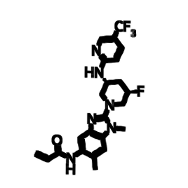 C=CC(=O)Nc1cc2nc(N3C[C@H](F)C[C@@H](Nc4ccc(C(F)(F)F)cn4)C3)n(C)c2cc1C